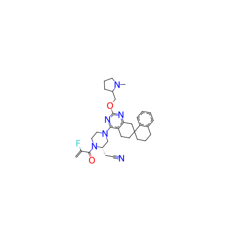 C=C(F)C(=O)N1CCN(c2nc(OCC3CCCN3C)nc3c2CCC2(CCCc4ccccc42)C3)C[C@@H]1CC#N